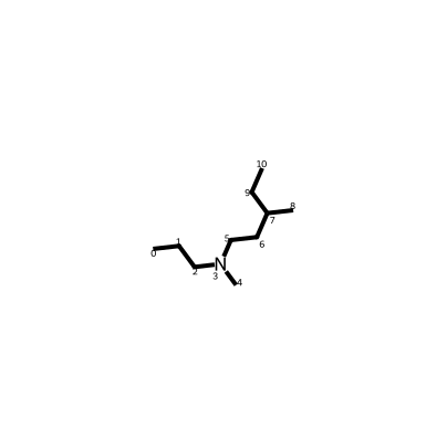 CCCN(C)CCC(C)CC